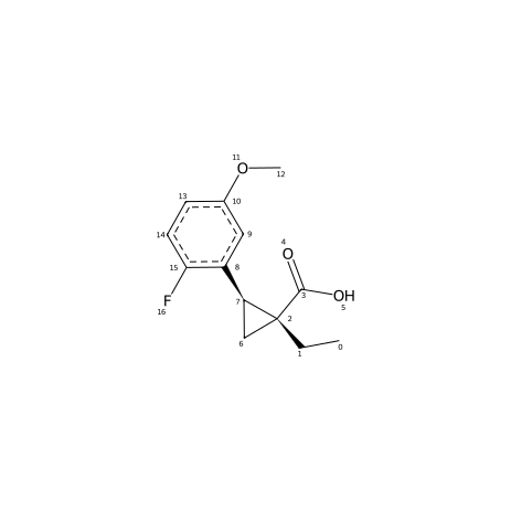 CC[C@@]1(C(=O)O)C[C@H]1c1cc(OC)ccc1F